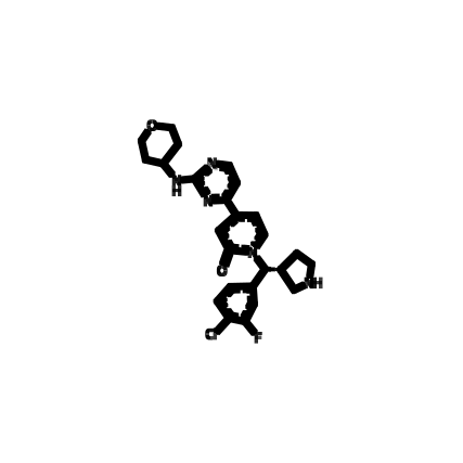 O=c1cc(-c2ccnc(NC3CCOCC3)n2)ccn1C(c1ccc(Cl)c(F)c1)[C@@H]1CCNC1